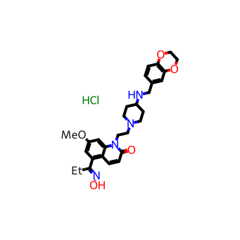 CCC(=NO)c1cc(OC)cc2c1ccc(=O)n2CCN1CCC(NCc2ccc3c(c2)OCCO3)CC1.Cl